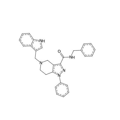 O=C(NCc1ccccc1)c1nn(-c2ccccc2)c2c1CN(Cc1c[nH]c3ccccc13)CC2